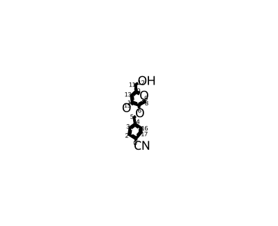 N#Cc1ccc(COc2coc(CO)cc2=O)cc1